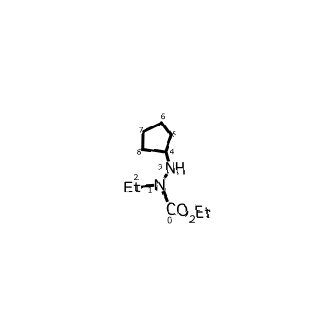 CCOC(=O)N(CC)NC1CCCC1